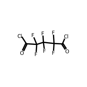 O=C(Cl)C(F)(F)C(F)(F)C(F)(F)C(=O)Cl